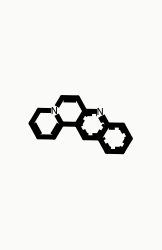 C1=CCN2C=Cc3nc4ccccc4cc3C2=C1